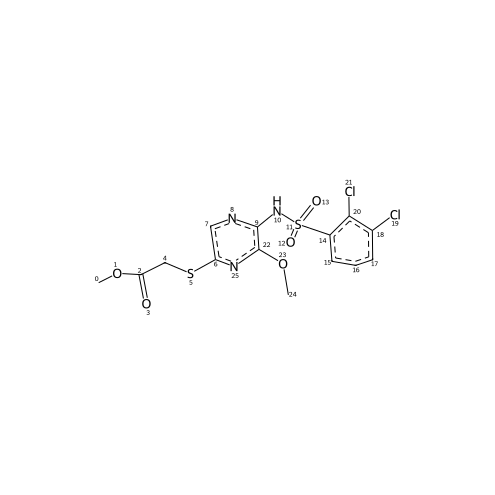 COC(=O)CSc1cnc(NS(=O)(=O)c2cccc(Cl)c2Cl)c(OC)n1